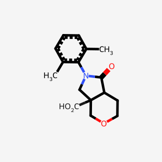 Cc1cccc(C)c1N1CC2(C(=O)O)COCCC2C1=O